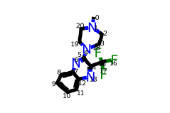 CN1CCN(c2nc3ccccc3nc2C(F)(F)F)CC1